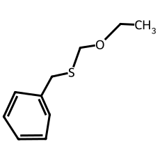 CCOCSCc1ccccc1